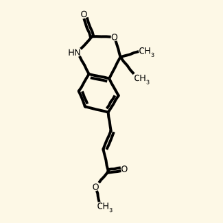 COC(=O)/C=C/c1ccc2c(c1)C(C)(C)OC(=O)N2